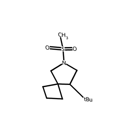 CC(C)(C)C1CN(S(C)(=O)=O)CC12CCC2